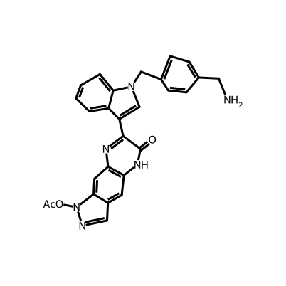 CC(=O)On1ncc2cc3[nH]c(=O)c(-c4cn(Cc5ccc(CN)cc5)c5ccccc45)nc3cc21